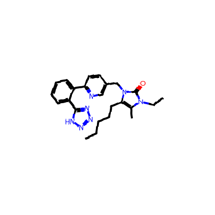 CCCCCc1c(C)n(CC)c(=O)n1Cc1ccc(-c2ccccc2-c2nnn[nH]2)nc1